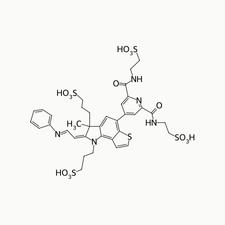 CC1(CCCS(=O)(=O)O)/C(=C\C=N\c2ccccc2)N(CCCS(=O)(=O)O)c2c1cc(-c1cc(C(=O)NCCS(=O)(=O)O)nc(C(=O)NCCS(=O)(=O)O)c1)c1sccc21